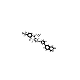 COC[C@@H](c1ccc(C(F)(F)F)cc1)[C@@H](N)CNc1ncc(-c2ccc3cnccc3c2)s1